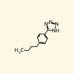 CCCCc1ccc(-c2nnn[nH]2)cc1